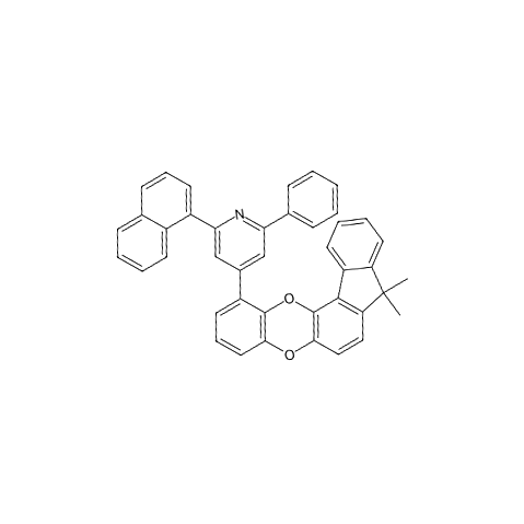 CC1(C)c2ccccc2-c2c1ccc1c2Oc2c(cccc2-c2cc(-c3ccccc3)nc(-c3cccc4ccccc34)c2)O1